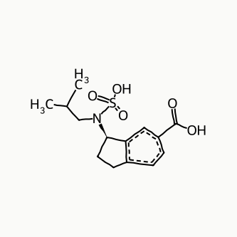 CC(C)CN([C@@H]1CCc2ccc(C(=O)O)cc21)S(=O)(=O)O